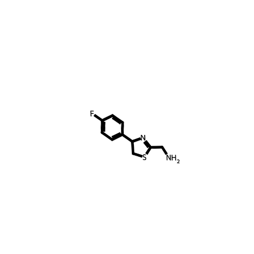 NCC1=NC(c2ccc(F)cc2)CS1